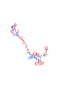 COC(C)(C)CCOC(C)(C)CCNC(=O)C(CCC(=O)O)NC(=O)CCOCCOCCOCCOCCNC(=O)CCN1C(=O)C=CC1=O